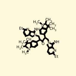 CCc1ccc2c(n1)C(=N)N(CC(C(=O)C(CN1Cc3ccc(CC)nc3C1=N)c1ccc3c(c1)C(C)(C)C(C)N3C)c1ccc3c(c1)C(C)(C)C(C)N3C)C2